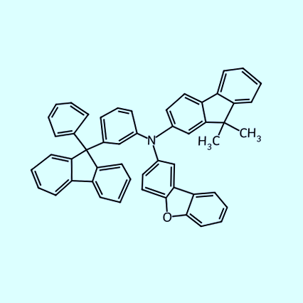 CC1(C)c2ccccc2-c2ccc(N(c3cccc(C4(c5ccccc5)c5ccccc5-c5ccccc54)c3)c3ccc4oc5ccccc5c4c3)cc21